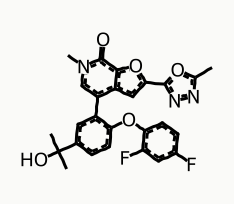 Cc1nnc(-c2cc3c(-c4cc(C(C)(C)O)ccc4Oc4ccc(F)cc4F)cn(C)c(=O)c3o2)o1